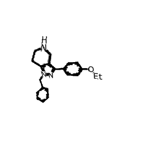 CCOc1ccc(-c2nn(Cc3ccccc3)c3c2CNCC3)cc1